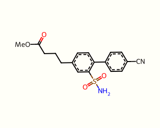 COC(=O)CCCc1ccc(-c2ccc(C#N)cc2)c(S(N)(=O)=O)c1